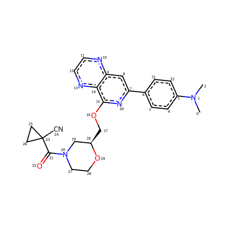 CN(C)c1ccc(-c2cc3nccnc3c(OC[C@@H]3CN(C(=O)C4(C#N)CC4)CCO3)n2)cc1